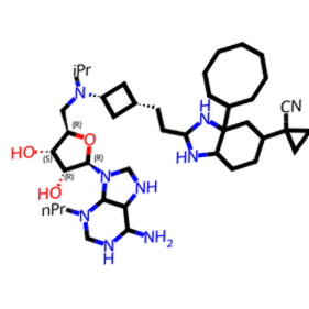 CCCN1CNC(N)C2NCN([C@@H]3O[C@H](CN(C(C)C)[C@H]4C[C@@H](CCC5NC6CCC(C7(C#N)CC7)CC6(C6CCCCCCC6)N5)C4)[C@@H](O)[C@H]3O)C21